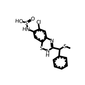 CSC(C1=Nc2cc(Cl)c(NS(=O)O)cc2SN1)c1ccccc1